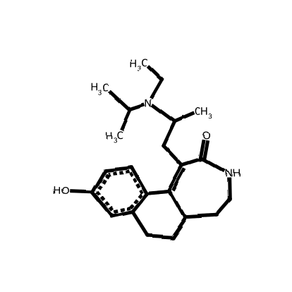 CCN(C(C)C)C(C)CC1=C2c3ccc(O)cc3CCC2CCNC1=O